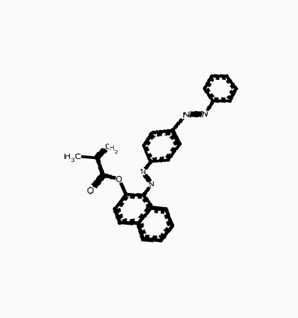 C=C(C)C(=O)Oc1ccc2ccccc2c1N=Nc1ccc(N=Nc2ccccc2)cc1